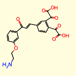 NCCOc1cccc(C(=O)/C=C/c2ccc(C(=O)C(=O)O)c(C(=O)C(=O)O)c2)c1